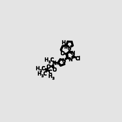 CN(C(=O)OC(C)(C)C)[C@@H]1CCN(c2nc(Cl)nc3c2OCC[C@@H]2CCCN32)C1